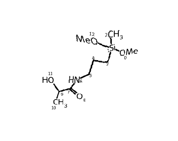 CO[Si](C)(CCCNC(=O)C(C)O)OC